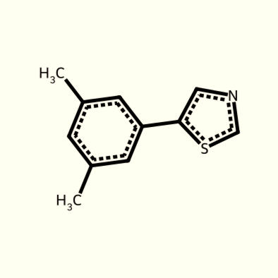 Cc1cc(C)cc(-c2cncs2)c1